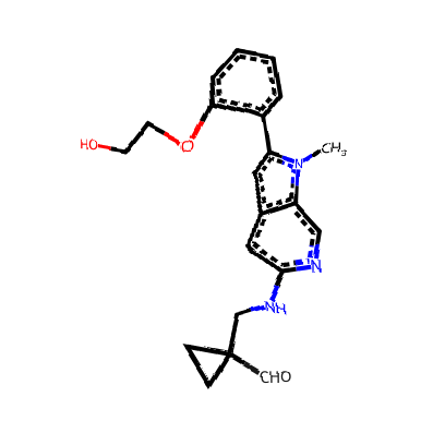 Cn1c(-c2ccccc2OCCO)cc2cc(NCC3(C=O)CC3)ncc21